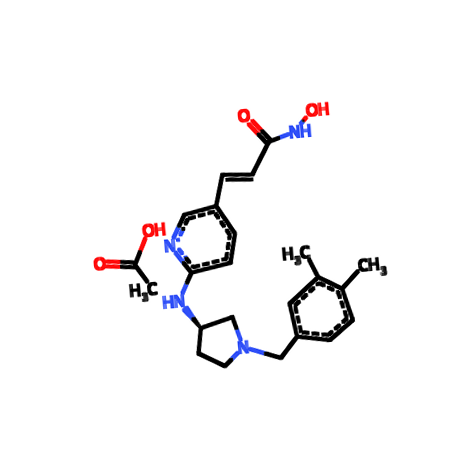 CC(=O)O.Cc1ccc(CN2CC[C@@H](Nc3ccc(C=CC(=O)NO)cn3)C2)cc1C